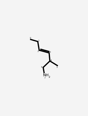 CCC=CC(C)CN